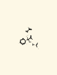 C=C(C)C(=O)OCC(COC(=O)C(=C)C)(c1ccccc1)C(C)C